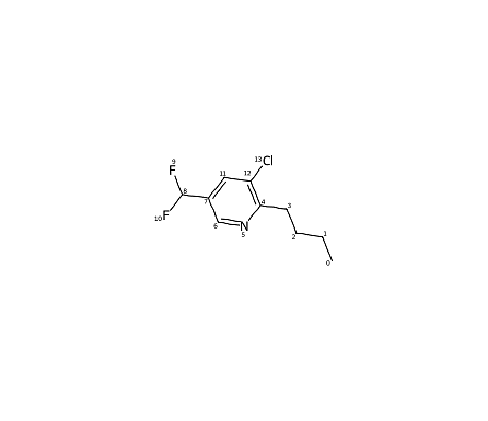 CCCCc1ncc(C(F)F)cc1Cl